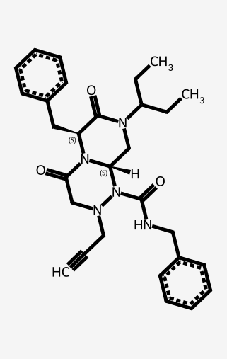 C#CCN1CC(=O)N2[C@@H](Cc3ccccc3)C(=O)N(C(CC)CC)C[C@@H]2N1C(=O)NCc1ccccc1